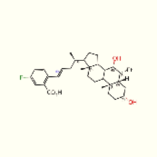 CC[C@H]1[C@@H](O)C2C3CCC([C@H](C)C/C=C/c4ccc(F)cc4C(=O)O)[C@@]3(C)CCC2[C@@]2(C)CC[C@@H](O)C[C@@H]12